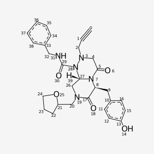 C#CCN1CC(=O)N2[C@@H](Cc3ccc(O)cc3)C(=O)N(CC3CCCO3)C[C@@H]2N1C(=O)NCc1ccccc1